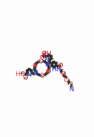 N#CSCCOCCOCCNC(=O)c1ccc(C(c2cccc(C(=O)O)n2)N2CCOCCOCCN(Cc3cccc(C(=O)O)n3)CCOCCOCC2)cc1